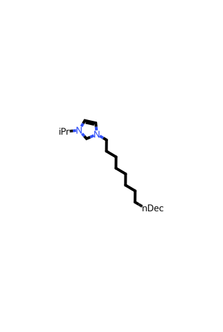 CCCCCCCCCCCCCCCCCCN1C=CN(C(C)C)C1